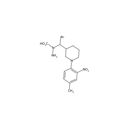 C[C](C)C(C1CCCN(c2ccc(C)cc2[N+](=O)[O-])C1)N(N)C(=O)O